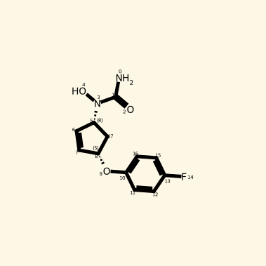 NC(=O)N(O)[C@H]1C=C[C@@H](Oc2ccc(F)cc2)C1